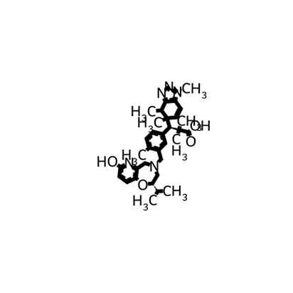 Cc1ccc([C@H](C(C)(C)C(=O)O)C2(C)C=Cc3c(nnn3C)C2C)cc1CN1Cc2nc(O)ccc2O[C@@H](C(C)C)C1